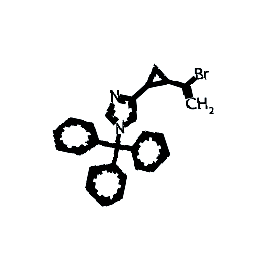 C=C(Br)C1CC1c1cn(C(c2ccccc2)(c2ccccc2)c2ccccc2)cn1